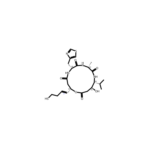 CC(C)[C@H]1NC(=O)[C@@H](C)NC(=O)[C@@H](Cc2cscn2)NC(=O)C[C@@H](/C=C/CCS)OC(=O)C[C@@H]1O